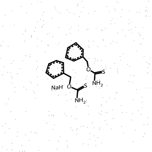 NC(=S)OCc1ccccc1.NC(=S)OCc1ccccc1.[NaH]